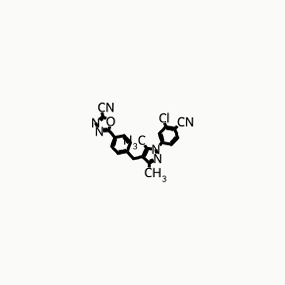 Cc1nn(-c2ccc(C#N)c(Cl)c2)c(C)c1Cc1ccc(-c2nnc(C#N)o2)cc1